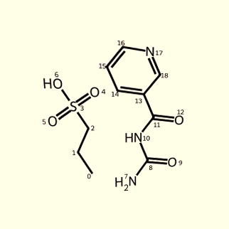 CCCS(=O)(=O)O.NC(=O)NC(=O)c1cccnc1